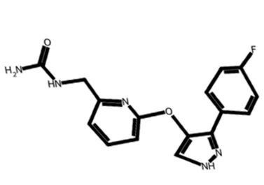 NC(=O)NCc1cccc(Oc2c[nH]nc2-c2ccc(F)cc2)n1